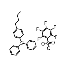 CCCCc1ccc([S+](c2ccccc2)c2ccccc2)cc1.O=S(=O)([O-])c1c(F)c(F)c(F)c(F)c1F